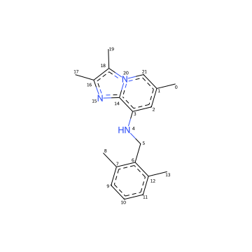 Cc1cc(NCc2c(C)cccc2C)c2nc(C)c(C)n2c1